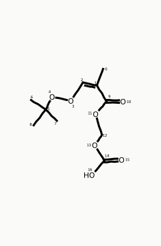 CC(=COOC(C)(C)C)C(=O)OCOC(=O)O